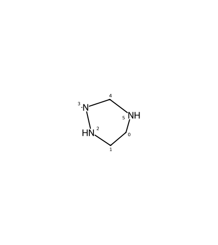 C1CN[N]CN1